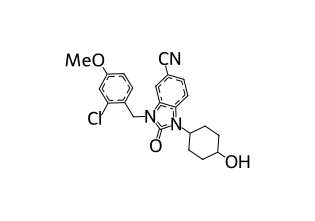 COc1ccc(Cn2c(=O)n(C3CCC(O)CC3)c3ccc(C#N)cc32)c(Cl)c1